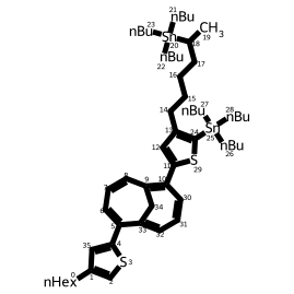 CCCCCCc1csc(C2=CC=CC3=C(c4cc(CCCC[CH](C)[Sn]([CH2]CCC)([CH2]CCC)[CH2]CCC)[c]([Sn]([CH2]CCC)([CH2]CCC)[CH2]CCC)s4)C=CC=C2C3)c1